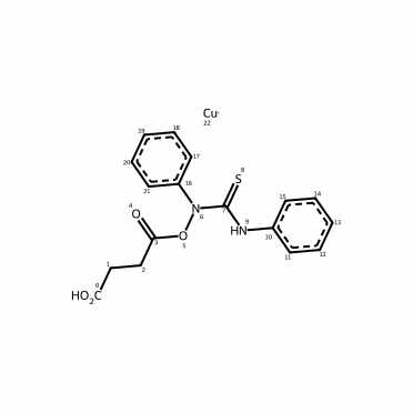 O=C(O)CCC(=O)ON(C(=S)Nc1ccccc1)c1ccccc1.[Cu]